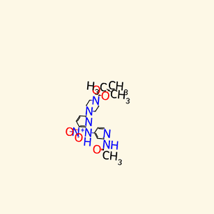 CC(=O)Nc1cc(Nc2nc(N3CCN(C(=O)OC(C)(C)C)CC3)ccc2[N+](=O)[O-])ccn1